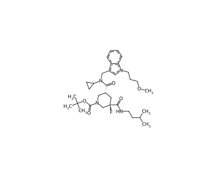 COCCCn1cc(CN(C(=O)[C@H]2CN(C(=O)OC(C)(C)C)C[C@@](F)(C(=O)NCCC(C)C)C2)C2CC2)c2ccccc21